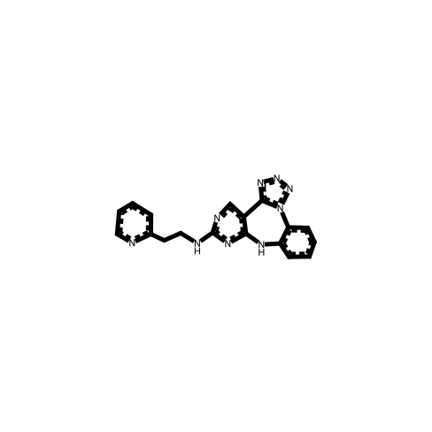 c1ccc(CCNc2ncc3c(n2)Nc2ccccc2-n2nnnc2-3)nc1